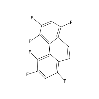 Fc1cc(F)c2ccc3c(F)cc(F)c(F)c3c2c1F